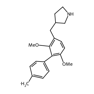 [CH2]c1ccc(-c2c(OC)ccc(CC3CCNC3)c2OC)cc1